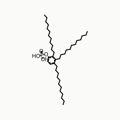 CCCCCCCCCCCCc1ccc(OP(=O)(O)O)c(CCCCCCCCCCCC)c1CCCCCCCCCCCC